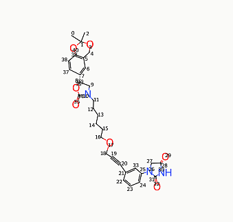 CC1(C)OCc2cc([C@@H]3CN(CCCCCCOCC#Cc4cccc(N5CC(=O)NC5=O)c4)C(=O)O3)ccc2O1